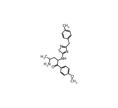 COc1ccc(C(=O)C(CC(C)N)Nc2nc(Cc3ccc(C)cc3)ns2)cc1